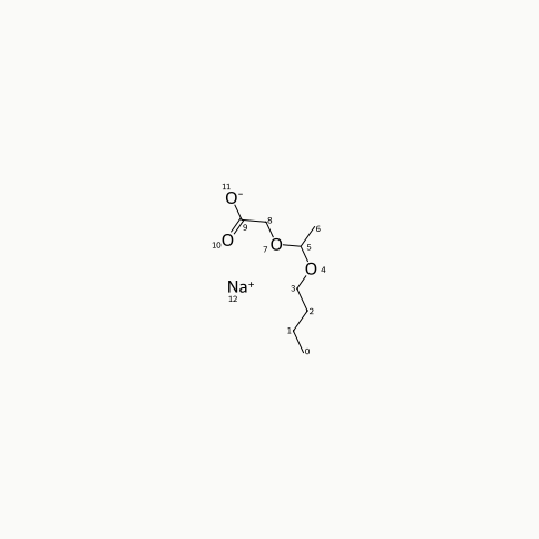 CCCCOC(C)OCC(=O)[O-].[Na+]